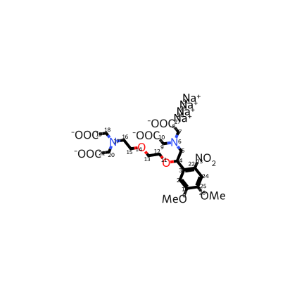 COc1cc(C(CN(CC(=O)[O-])CC(=O)[O-])OCCOCCN(CC(=O)[O-])CC(=O)[O-])c([N+](=O)[O-])cc1OC.[Na+].[Na+].[Na+].[Na+]